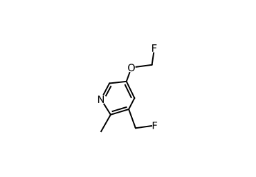 Cc1ncc(OCF)cc1CF